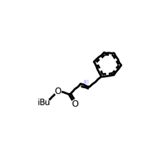 CCC(C)OC(=O)/C=C/c1ccccc1